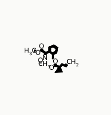 C=CCC1(C(=O)OCc2ccccc2C(=NOC)C(=O)OC)CC1